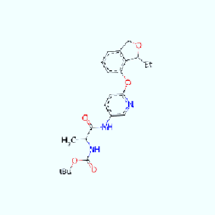 CCC1OCc2cccc(Oc3ccc(NC(=O)C(C)NC(=O)OC(C)(C)C)cn3)c21